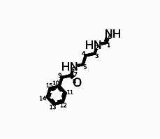 N=CNCCCNC(=O)Cc1ccccc1